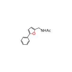 CC(=O)NCc1ccc(-c2ccccc2)o1